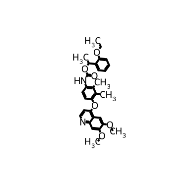 CCOc1ccccc1C(C)OC(=O)Nc1ccc(Oc2ccnc3cc(OC)c(OC)cc23)c(C)c1C